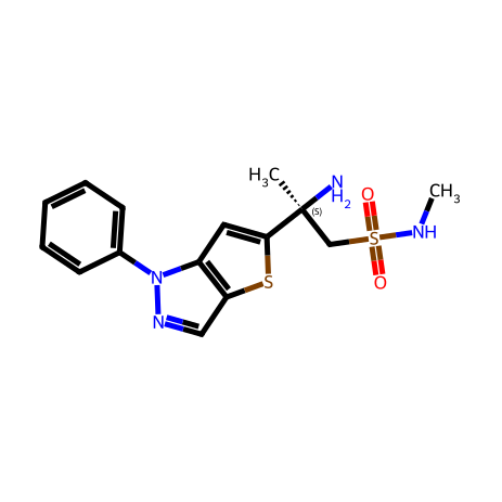 CNS(=O)(=O)C[C@](C)(N)c1cc2c(cnn2-c2ccccc2)s1